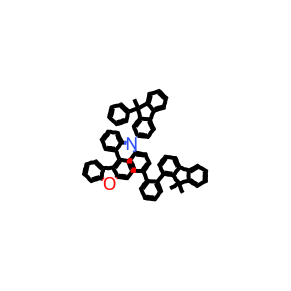 CC1(C)c2ccccc2-c2cccc(-c3ccccc3-c3ccc(N(c4ccc5c(c4)C(C)(c4ccccc4)c4ccccc4-5)c4ccccc4-c4cccc5oc6ccccc6c45)cc3)c21